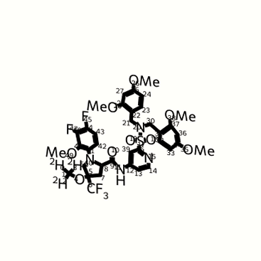 [2H]C([2H])([2H])OC1(C(F)(F)F)CC(C(=O)Nc2ccnc(S(=O)(=O)N(Cc3ccc(OC)cc3OC)Cc3ccc(OC)cc3OC)c2)N(c2ccc(F)c(F)c2OC)C1